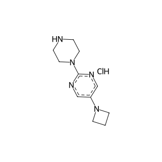 Cl.c1nc(N2CCNCC2)ncc1N1CCC1